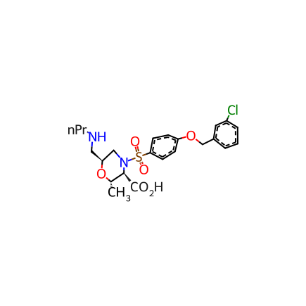 CCCNC[C@H]1CN(S(=O)(=O)c2ccc(OCc3cccc(Cl)c3)cc2)[C@@H](C(=O)O)[C@H](C)O1